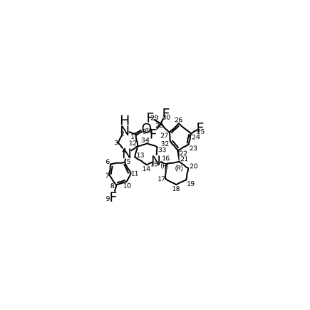 O=C1NCN(c2ccc(F)cc2)C12CCN([C@@H]1CCCC[C@@H]1c1cc(F)cc(C(F)(F)F)c1)CC2